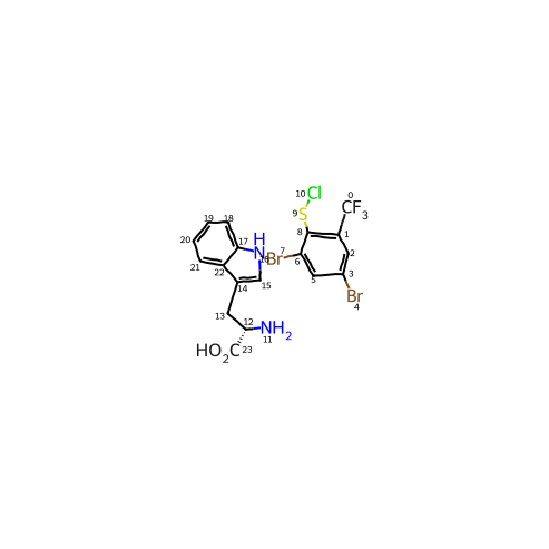 FC(F)(F)c1cc(Br)cc(Br)c1SCl.N[C@@H](Cc1c[nH]c2ccccc12)C(=O)O